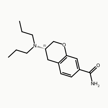 CCCN(CCC)[C@@H]1COc2cc(C(N)=O)ccc2C1